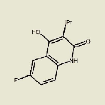 CC(C)c1c(O)c2cc(F)ccc2[nH]c1=O